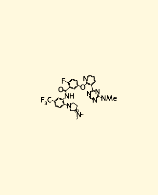 CNc1ncnc(-c2cccnc2Oc2ccc(F)c(C(=O)Nc3cc(C(F)(F)F)ccc3N3CC[C@H](N(C)C)C3)c2)n1